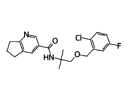 CC(C)(COCc1cc(F)ccc1Cl)NC(=O)c1cnc2c(c1)CCC2